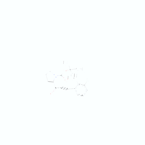 Cc1c(Cl)cccc1C#CC(=O)C1CCCN1C(=O)OC(C)(C)C